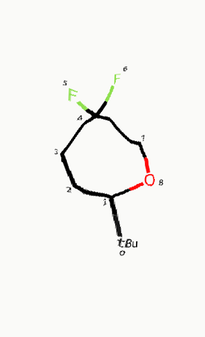 CC(C)(C)C1CCC(F)(F)CO1